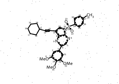 COc1cc(-c2cnc3c(n2)c(C#CC2CCCCC2)cn3S(=O)(=O)c2ccc(C)cc2)cc(OC)c1OC